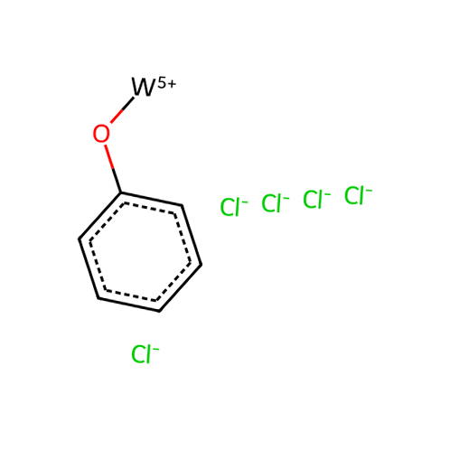 [Cl-].[Cl-].[Cl-].[Cl-].[Cl-].[W+5][O]c1ccccc1